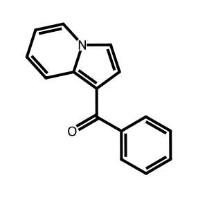 O=C(c1ccccc1)c1ccn2ccccc12